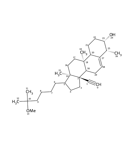 C#C[C@@]12CCC(CCCCC(C)(C)OC)[C@@]1(C)CC[C@@]1(C)C3CC[C@H](O)[C@H](C)C3=CCC12